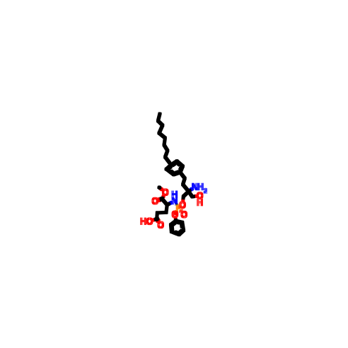 CCCCCCCCc1ccc(CCC(N)(CO)COP(=O)(NC(CCC(=O)O)C(=O)OC)Oc2ccccc2)cc1